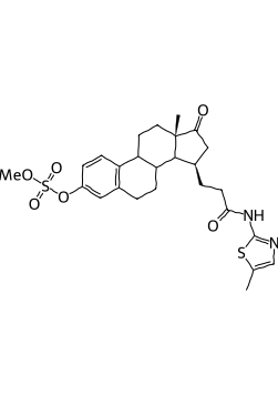 COS(=O)(=O)Oc1ccc2c(c1)CCC1C2CC[C@]2(C)C(=O)C[C@@H](CCC(=O)Nc3ncc(C)s3)C12